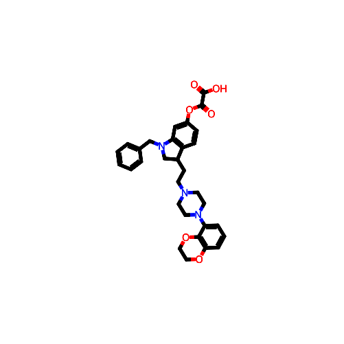 O=C(O)C(=O)Oc1ccc2c(c1)N(Cc1ccccc1)CC2CCN1CCN(c2cccc3c2OCCO3)CC1